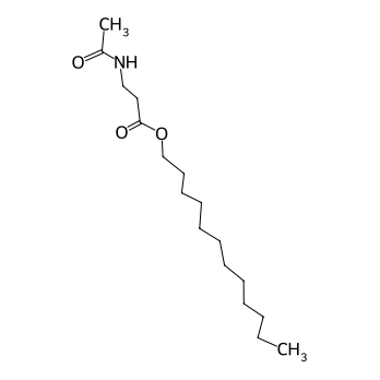 CCCCCCCCCCCCOC(=O)CCNC(C)=O